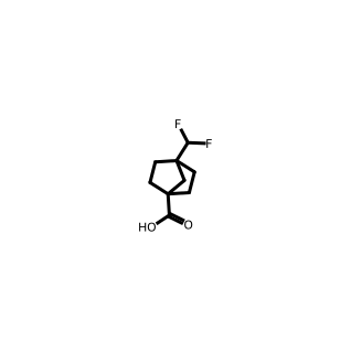 O=C(O)C12CCC(C(F)F)(CC1)C2